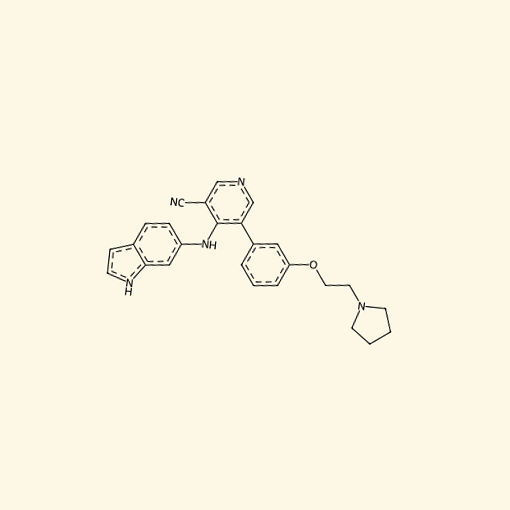 N#Cc1cncc(-c2cccc(OCCN3CCCC3)c2)c1Nc1ccc2cc[nH]c2c1